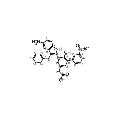 Nc1ccc2[nH]c(-c3cc(CC(=O)O)cc(-c4cccc([N+](=O)[O-])c4)c3O)c(Cc3ccccc3)c2n1